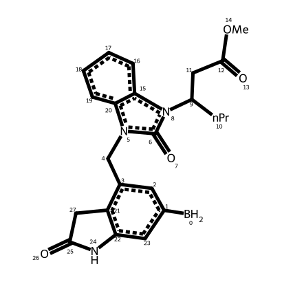 Bc1cc(Cn2c(=O)n(C(CCC)CC(=O)OC)c3ccccc32)c2c(c1)NC(=O)C2